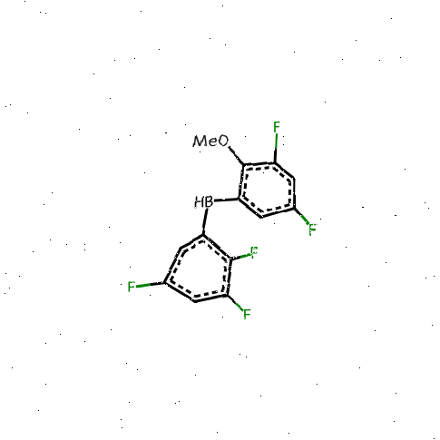 COc1c(F)cc(F)cc1Bc1cc(F)cc(F)c1F